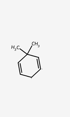 CC1(C)C=[C][CH]C=C1